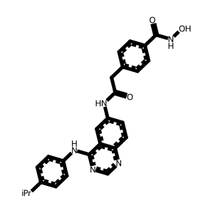 CC(C)c1ccc(Nc2ncnc3ccc(NC(=O)Cc4ccc(C(=O)NO)cc4)cc23)cc1